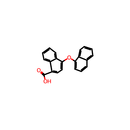 O=C(O)c1ccc(Oc2cccc3ccccc23)c2ccccc12